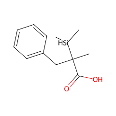 C[SiH](C)C(C)(Cc1ccccc1)C(=O)O